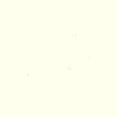 COC1(c2ccc(C)cc2)CCC(NCCCC(=O)c2ccc(F)cc2)CC1.Cl